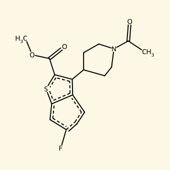 COC(=O)c1sc2cc(F)ccc2c1C1CCN(C(C)=O)CC1